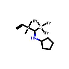 C=C[Si](C)(C)C(NC1CCCC1)[Si](C(C)C)(C(C)C)C(C)C